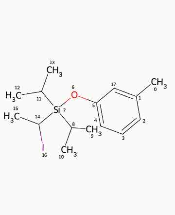 Cc1cccc(O[Si](C(C)C)(C(C)C)C(C)I)c1